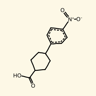 O=C(O)C1CC[C](c2ccc([N+](=O)[O-])cc2)CC1